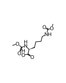 COC(=O)NCCCC[C@H](NC(=O)OC)C(=O)O